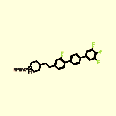 CCCCC[SiH]1CCC(CCc2ccc(-c3ccc(-c4cc(F)c(F)c(F)c4)cc3)c(F)c2)CC1